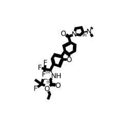 CCOC(=O)[C@H](CC(C)(C)F)N[C@@H](c1ccc2c(c1)oc1ccc(C(=O)N3CC[C@@H](N(C)C)C3)cc12)C(F)(F)F